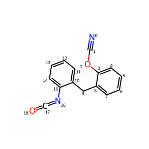 N#COc1ccccc1Cc1ccccc1N=C=O